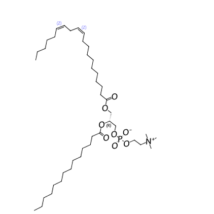 CCCCC/C=C\C/C=C\CCCCCCCCCC(=O)OC[C@H](COP(=O)([O-])OCC[N+](C)(C)C)OC(=O)CCCCCCCCCCCCC